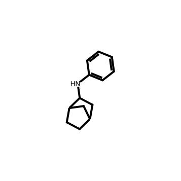 c1ccc(NC2CC3CCC2C3)cc1